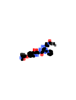 CC(=O)N1CC(Nc2cc(C(=O)NC[C@H](O)[C@@H]3Cc4ccc(OCc5ocnc5C)cc4CN3)nc(N3CCCCC3)n2)C1